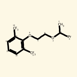 CC(C)C(C)OCCOc1c(C(F)(F)F)cccc1C(F)(F)F